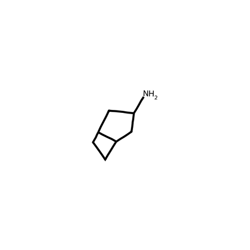 NC1CC2CCC2C1